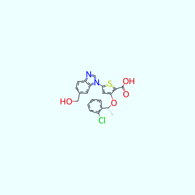 C[C@@H](Oc1cc(-n2cnc3ccc(CO)cc32)sc1C(=O)O)c1ccccc1Cl